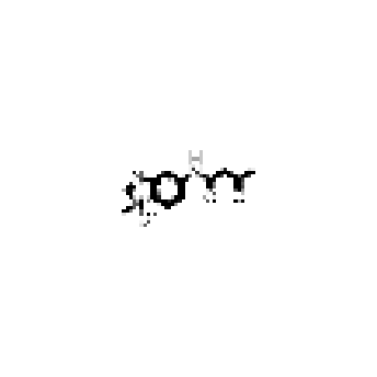 CC(=O)CC(=O)Nc1ccc2c(c1)N=C[N+]2(C)[O-]